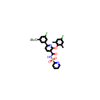 Cc1cc(F)cc(C)c1Oc1nc(-c2cc(F)cc(OCC(C)C)c2)ccc1C(=O)NS(=O)(=O)c1ccccn1